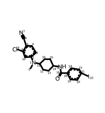 CN(c1ccc(C#N)c(Cl)c1)C1CCC(NC(=O)c2ccc(I)cc2)CC1